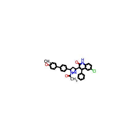 COc1ccc(-c2ccc(C3CC(c4c(-c5ccccc5)c5cc(Cl)ccc5[nH]c4=O)=NN3C(C)=O)cc2)cc1